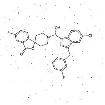 O=C1OC2(CCN(C(O)c3cn(Cc4cccc(F)c4)c4cc(Cl)ccc34)CC2)c2ccc(F)cc21